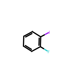 Fc1[c]cc[c]c1I